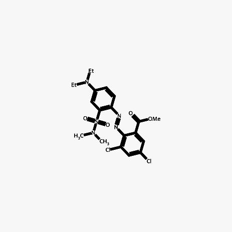 CCN(CC)c1ccc(N=Nc2c(Cl)cc(Cl)cc2C(=O)OC)c(S(=O)(=O)N(C)C)c1